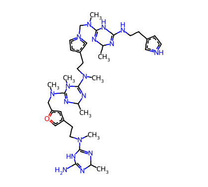 CC1N=C(N)NC(N(C)CCc2coc(CN(C)C3=NC(C)N=C(N(C)CCc4ccn(CN(C)C5=NC(C)N=C(NCCc6cc[nH]c6)N5)c4)N3C)c2)=N1